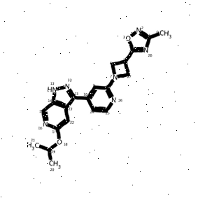 Cc1noc(C2CN(c3cc(-c4n[nH]c5cnc(OC(C)C)cc45)ccn3)C2)n1